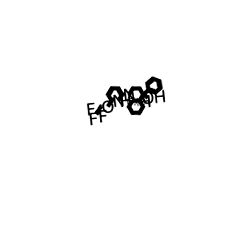 OC1(c2ccccc2)CCN(c2cccc(OCC(F)(F)F)n2)[C@@H]2CCCC[C@@H]21